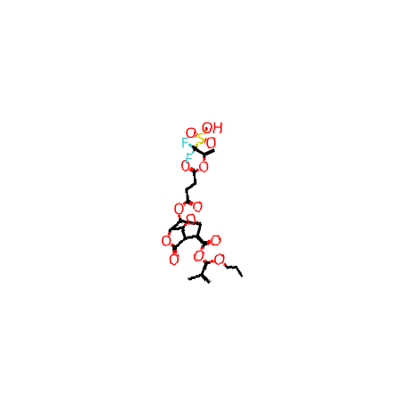 CCCOC(OC(=O)C1C2OC3C(OC(=O)C31)C2OC(=O)CCC(=O)OC(C)C(F)(F)S(=O)(=O)O)C(C)C